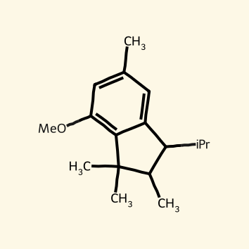 COc1cc(C)cc2c1C(C)(C)C(C)C2C(C)C